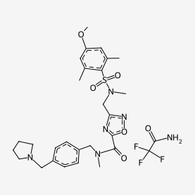 COc1cc(C)c(S(=O)(=O)N(C)Cc2noc(C(=O)N(C)Cc3ccc(CN4CCCC4)cc3)n2)c(C)c1.NC(=O)C(F)(F)F